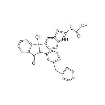 O=C(O)Nc1nc2cc(C3(O)c4ccccc4C(=O)N3c3cccc(Cc4ccccc4)c3)ccc2[nH]1